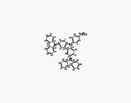 CCCCc1ccc(-n2c3ccc(-n4c5ccccc5c5ccccc54)cc3c3cc(-n4c5ccccc5c5ccccc54)ccc32)cc1